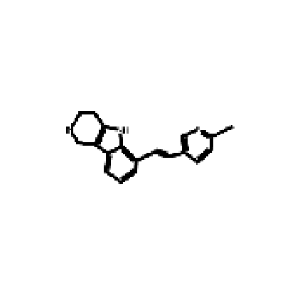 Cc1ccc(/C=C/c2cccc3c4c([nH]c23)CCNC4)cn1